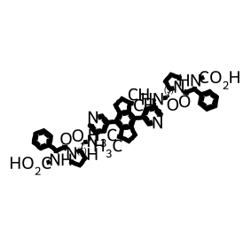 CC1(C)CCc2c(-c3cncc(NC(=O)[C@@H]4CCCN4C(=O)C(NC(=O)O)c4ccccc4)c3)c3c(c(-c4cncc(NC(=O)[C@@H]5CCCN5C(=O)C(NC(=O)O)c5ccccc5)c4)c21)CCC3(C)C